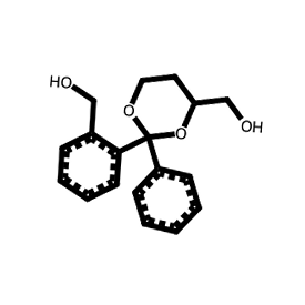 OCc1ccccc1C1(c2ccccc2)OCCC(CO)O1